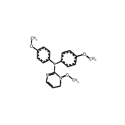 COc1ccc(P(C2=NC=CCN2OC)c2ccc(OC)cc2)cc1